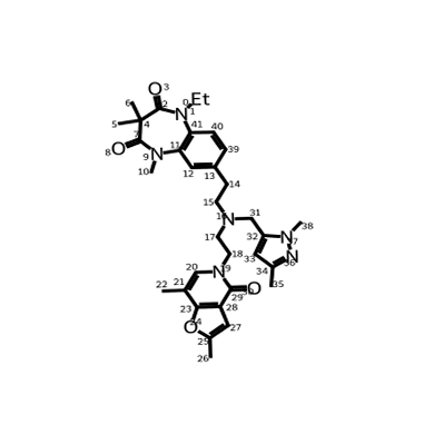 CCN1C(=O)C(C)(C)C(=O)N(C)c2cc(CCN(CCn3cc(C)c4oc(C)cc4c3=O)Cc3cc(C)nn3C)ccc21